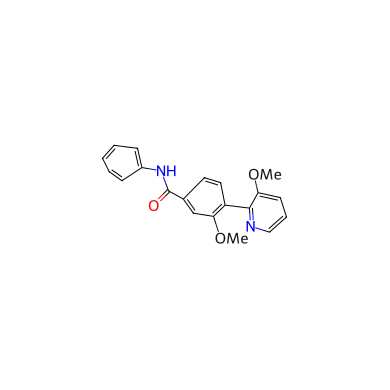 COc1cc(C(=O)Nc2ccccc2)ccc1-c1ncccc1OC